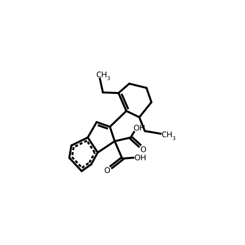 CCC1=C(C2=Cc3ccccc3C2(C(=O)O)C(=O)O)C(CC)CCC1